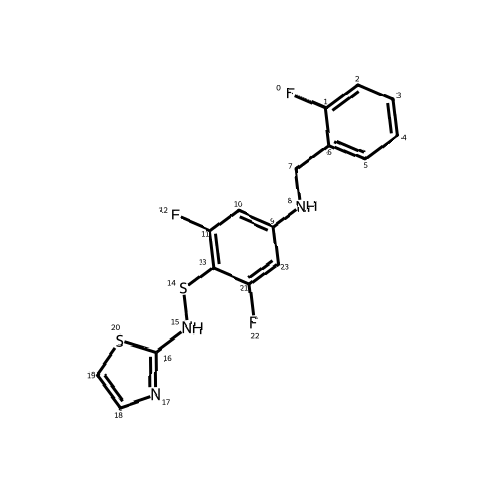 Fc1ccccc1CNc1cc(F)c(SNc2nccs2)c(F)c1